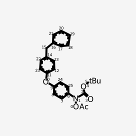 CC(=O)ON(C(=O)OC(C)(C)C)c1ccc(Oc2ccc(Cc3ccccc3)cc2)cc1